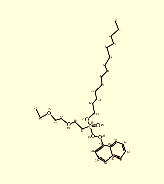 CCCCCCCCCCCCCCOP(=O)(CCOCCOCC)OOc1cccc2ccccc12